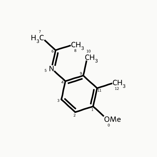 COc1ccc(N=C(C)C)c(C)c1C